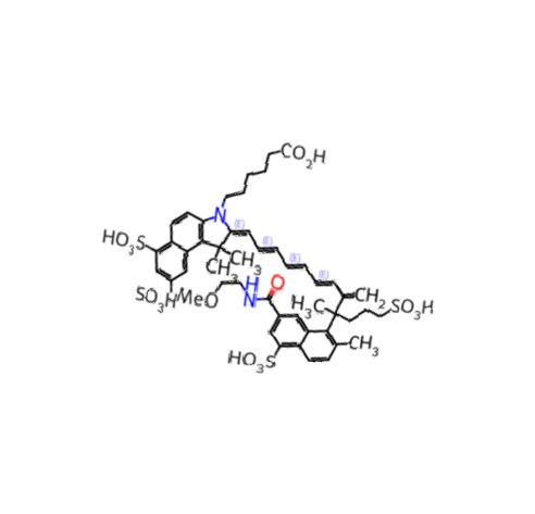 C=C(/C=C/C=C/C=C/C=C1/N(CCCCCC(=O)O)c2ccc3c(S(=O)(=O)O)cc(S(=O)(=O)O)cc3c2C1(C)C)C(C)(CCCS(=O)(=O)O)c1c(C)ccc2c(S(=O)(=O)O)cc(C(=O)NCCOC)cc12